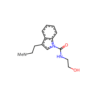 CNCCc1cn(C(=O)NCCO)c2ccccc12